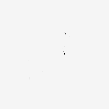 C[C@H](O)[C@H](O)[C@H]1CN=c2nc(N)[nH]c(=O)c2=N1